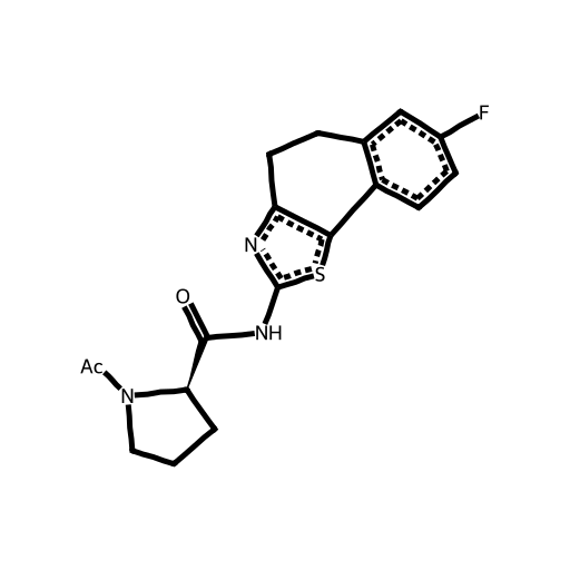 CC(=O)N1CCC[C@@H]1C(=O)Nc1nc2c(s1)-c1ccc(F)cc1CC2